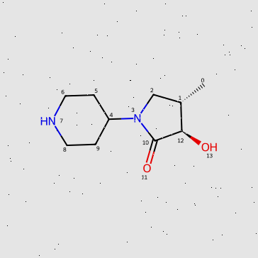 C[C@H]1CN(C2CCNCC2)C(=O)[C@@H]1O